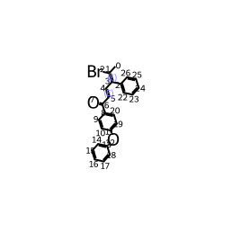 C/C(Br)=C(/C=C/C(=O)c1ccc(Oc2ccccc2)cc1)c1ccccc1